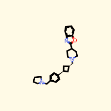 c1ccc2oc(C3CCN(C[C@H]4C[C@H](c5ccc(CN6CCCC6)cc5)C4)CC3)nc2c1